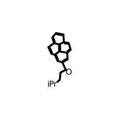 CC(C)CCC(=O)c1cc2ccc3cccc4ccc(c1)c2c34